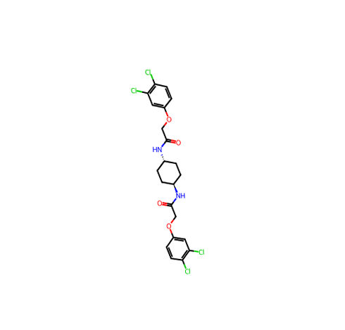 O=C(COc1ccc(Cl)c(Cl)c1)N[C@H]1CC[C@H](NC(=O)COc2ccc(Cl)c(Cl)c2)CC1